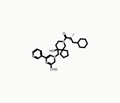 C[C@H](CC1CCCCC1)C(=O)N1CCC(O)(CN2C=C(c3cccnc3)N=C(C=O)C2)C2(CCCC2)C1